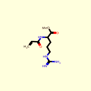 C=CC(=O)NC(CCCNC(=N)N)C(=O)OC